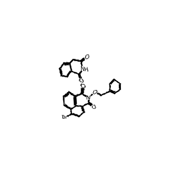 O=C1Cc2ccccc2C(=O)N1.O=C1c2cccc3c(Br)ccc(c23)C(=O)N1OCc1ccccc1